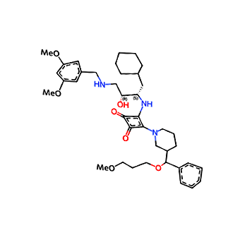 COCCCOC(c1ccccc1)C1CCCN(c2c(N[C@@H](CC3CCCCC3)[C@H](O)CNCc3cc(OC)cc(OC)c3)c(=O)c2=O)C1